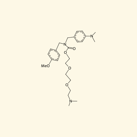 COc1ccc(CN(Cc2ccc(N(C)C)cc2)C(=O)OCCOCCOCCN(C)C)cc1